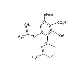 C=C(C)Oc1cc(CCCCC)c(C(=O)O)c(O)c1[C@@H]1C=C(C)CCC1